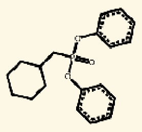 O=P(CC1CCCCC1)(Oc1ccccc1)Oc1ccccc1